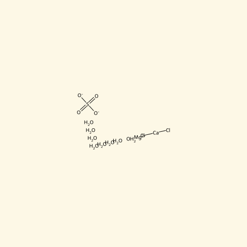 O.O.O.O.O.O.O.O.O=S(=O)([O-])[O-].[Cl][Ca][Cl].[Mg+2]